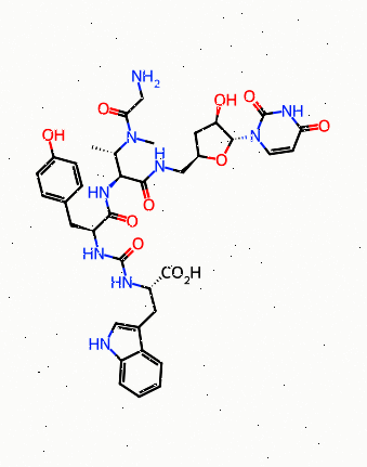 C[C@@H]([C@H](NC(=O)[C@H](Cc1ccc(O)cc1)NC(=O)N[C@@H](Cc1c[nH]c2ccccc12)C(=O)O)C(=O)NC[C@H]1C[C@@H](O)[C@H](n2ccc(=O)[nH]c2=O)O1)N(C)C(=O)CN